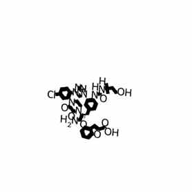 CC(C)(CCO)NC(=O)Nc1ccc(C[C@@H](C(N)=O)N2CCN(c3cc(Cl)ccc3-n3cnnn3)C(=O)C2=O)cc1.O=C(O)c1cc2ccccc2o1